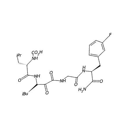 CC[C@H](C)C(NC(=O)[C@H](CC(C)C)NC(=O)O)C(=O)C(=O)NCC(=O)N[C@@H](Cc1cccc(F)c1)C(N)=O